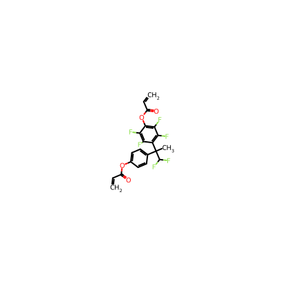 C=CC(=O)Oc1ccc(C(C)(c2c(F)c(F)c(OC(=O)C=C)c(F)c2F)C(F)F)cc1